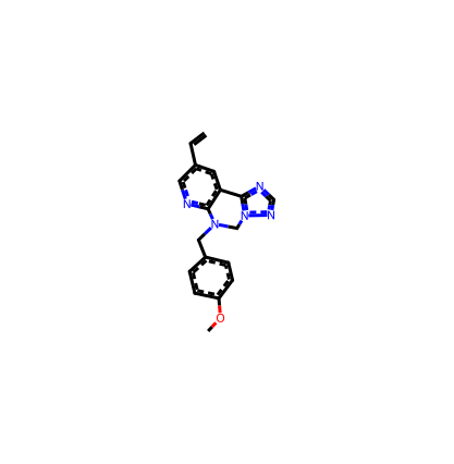 C=Cc1cnc2c(c1)-c1ncnn1CN2Cc1ccc(OC)cc1